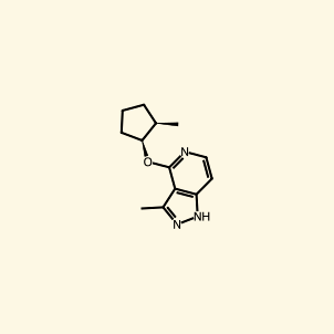 Cc1n[nH]c2ccnc(O[C@H]3CCC[C@H]3C)c12